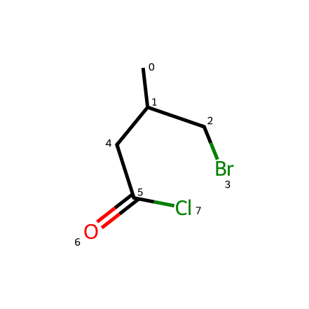 CC(CBr)CC(=O)Cl